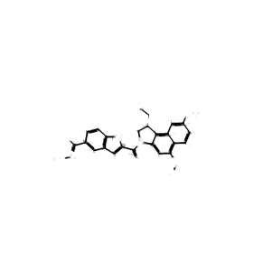 CCCN=C(C)c1ccc2[nH]c(C(=O)N3C[C@@H](CCl)c4c3cc(OC(C)(C)C)c3ccc(OC)cc43)cc2c1